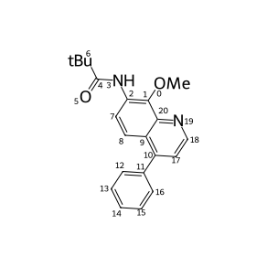 COc1c(NC(=O)C(C)(C)C)ccc2c(-c3ccccc3)ccnc12